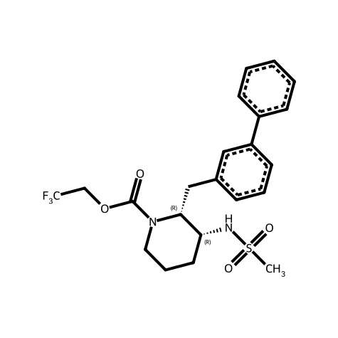 CS(=O)(=O)N[C@@H]1CCCN(C(=O)OCC(F)(F)F)[C@@H]1Cc1cccc(-c2ccccc2)c1